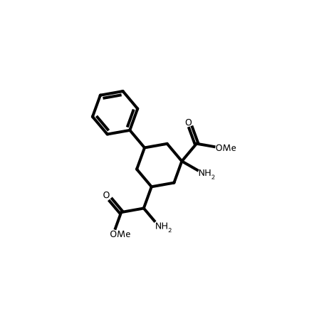 COC(=O)C(N)C1CC(c2ccccc2)CC(N)(C(=O)OC)C1